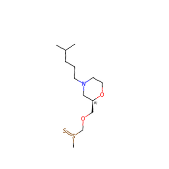 CC(C)CCCN1CCO[C@@H](COCS(C)=S)C1